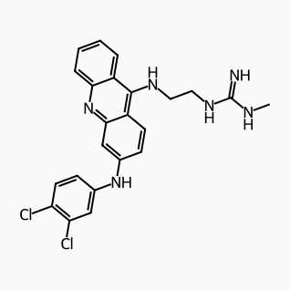 CNC(=N)NCCNc1c2ccccc2nc2cc(Nc3ccc(Cl)c(Cl)c3)ccc12